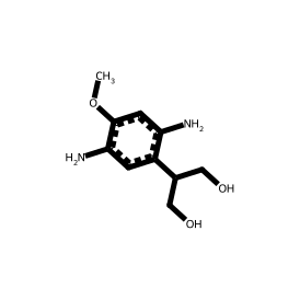 COc1cc(N)c(C(CO)CO)cc1N